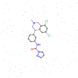 CN1Cc2c(Cl)cc(Cl)cc2C(c2cccc(NC(=O)n3cccn3)c2)C1